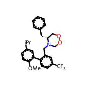 COc1ccc(C(C)C)cc1-c1ccc(C(F)(F)F)cc1CN1COOC[C@H]1Cc1ccccc1